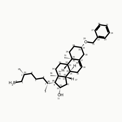 BC[C@H](C)CCC[C@@H](C)[C@H]1[C@@H](O)C[C@H]2[C@@H]3CC=C4C[C@@H](OCc5ccccc5)CC[C@]4(C)[C@H]3CC[C@]12C